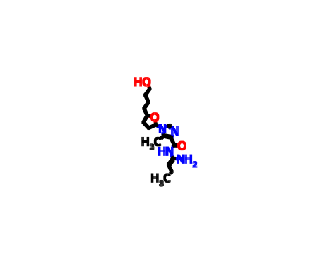 CC/C=C(\N)NC(=O)c1ncn(C2CCC(CCCCO)O2)c1C